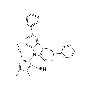 Cc1cc(C#N)c(-n2c3ccc(-c4ccccc4)cc3c3cc(-c4ccccc4)ccc32)c(C#N)c1C